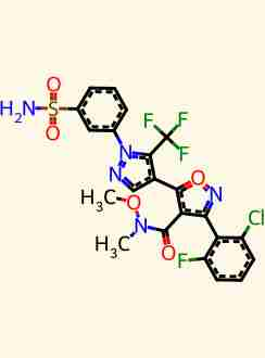 CON(C)C(=O)c1c(-c2c(F)cccc2Cl)noc1-c1cnn(-c2cccc(S(N)(=O)=O)c2)c1C(F)(F)F